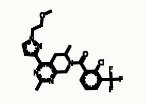 COCCn1ccc(-c2nc(C)nc3c2CC(C)N(C(=O)c2cccc(C(F)(F)F)c2Cl)C3)n1